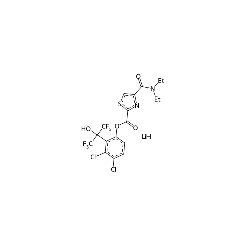 CCN(CC)C(=O)c1csc(C(=O)Oc2ccc(Cl)c(Cl)c2C(O)(C(F)(F)F)C(F)(F)F)n1.[LiH]